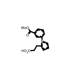 COC(=O)c1cccc(-n2cccc2CCC(=O)O)c1